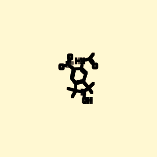 CC(=O)Nc1cc2c(cc1[N+](=O)[O-])C(C)(C)N(O)C2(C)C